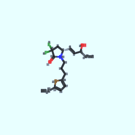 CCCCCC(O)C=C[C@H]1CC(F)(F)C(=O)N1CCCc1ccc(C(=O)O)s1